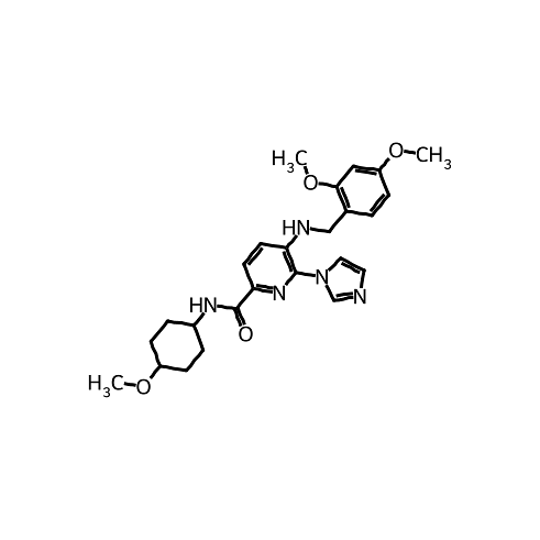 COc1ccc(CNc2ccc(C(=O)NC3CCC(OC)CC3)nc2-n2ccnc2)c(OC)c1